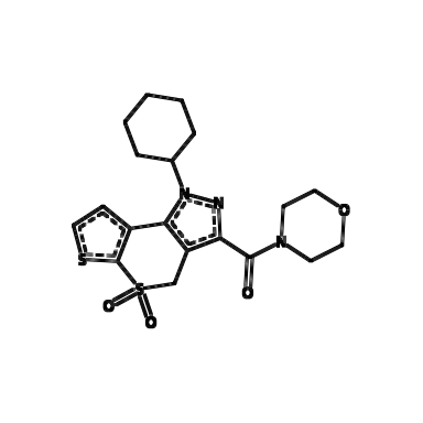 O=C(c1nn(C2CCCCC2)c2c1CS(=O)(=O)c1sccc1-2)N1CCOCC1